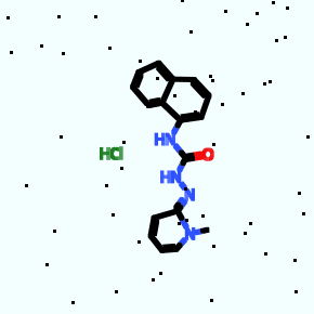 Cl.Cn1ccccc1=NNC(=O)Nc1cccc2ccccc12